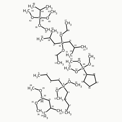 CCCC[Si](CCCC)(OC)OC.CCO[Si](CC(C)C)(CC(C)C)OCC.CO[SiH](CC(C)C)OC.CO[Si](OC)(OC)C(C)C.CO[Si](OC)(OC)C1CCCC1